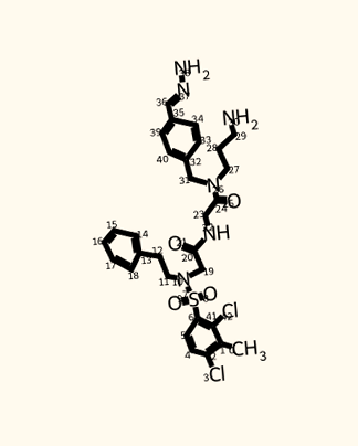 Cc1c(Cl)ccc(S(=O)(=O)N(CCc2ccccc2)CC(=O)NCC(=O)N(CCCN)Cc2ccc(C=NN)cc2)c1Cl